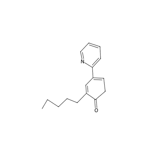 CCCCCC1=CC(c2ccccn2)=CCC1=O